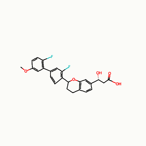 COc1ccc(F)c(-c2ccc(C3CCc4ccc([C@H](O)CC(=O)O)cc4O3)c(F)c2)c1